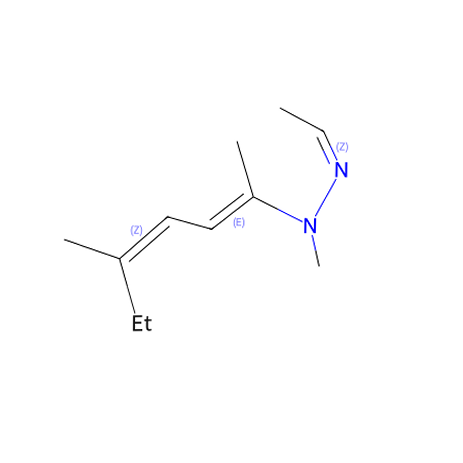 C/C=N\N(C)/C(C)=C/C=C(/C)CC